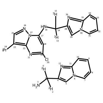 [2H]C([2H])(N)c1cn2ccccc2n1.[2H]C([2H])(Nc1cc(Cl)nc2c(C(C)C)cnn12)c1cn2ccccc2n1